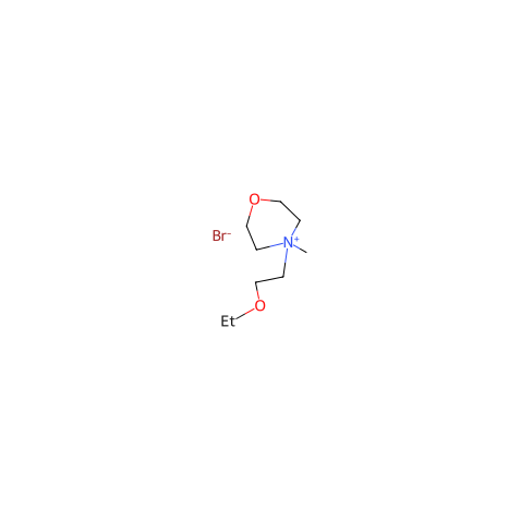 CCOCC[N+]1(C)CCOCC1.[Br-]